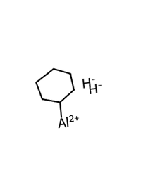 [Al+2][CH]1CCCCC1.[H-].[H-]